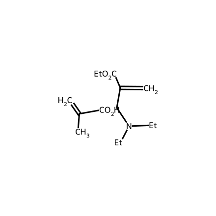 C=C(C)C(=O)O.C=C(CN(CC)CC)C(=O)OCC